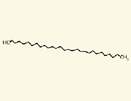 [CH]=CCCCCCCCCCCCCCCCCCCCCCCCCCCC